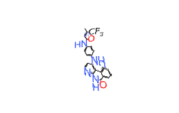 C/C(=C/C(=O)Nc1ccc(Nc2ccnc3[nH]c(=O)c4ccccc4c23)cc1)C(F)(F)F